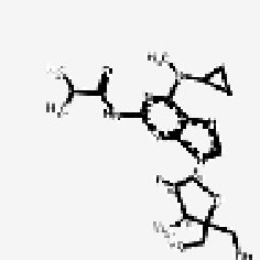 CC(C)C(=O)Nc1nc(N(C)C2CC2)c2ncn([C@@H]3OC(CO)(CO)[C@@H](C)[C@H]3F)c2n1